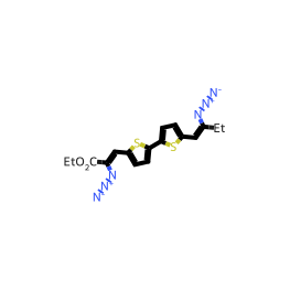 CCOC(=O)/C(=C/c1ccc(-c2ccc(/C=C(/CC)N=[N+]=[N-])s2)s1)N=[N+]=[N-]